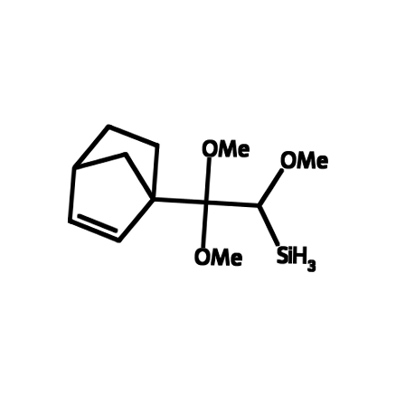 COC([SiH3])C(OC)(OC)C12C=CC(CC1)C2